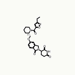 CCc1cc(C(=O)N2CCCC[C@H]2COc2ccc3c(c2)CN(C2CCC(=O)NC2=O)C3=O)on1